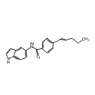 CCC/C=C/c1ccc(C(=O)Nc2ccc3[nH]ccc3c2)cc1